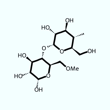 COC[C@H]1O[C@H](O)[C@H](O)[C@@H](O)[C@@H]1O[C@H]1O[C@H](CO)[C@@H](C)[C@H](O)[C@H]1O